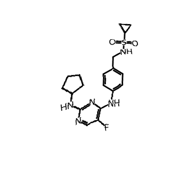 O=S(=O)(NCc1ccc(Nc2nc(NC3CCCC3)ncc2F)cc1)C1CC1